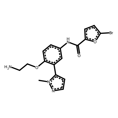 Cn1nccc1-c1cc(NC(=O)c2ccc(Br)o2)ccc1OCCN